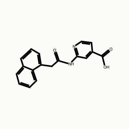 O=C(Cc1cccc2ccccc12)Nc1cc(C(=O)O)ccn1